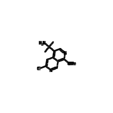 COc1ncc(C(C)(C)N)c2cc(Cl)ncc12